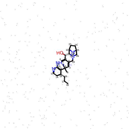 C=C(CO)/C(=C\C(C)(C)C1=C(N)N=CC[C@@H]1CCC)CN1CC2CCC(C1)N2C